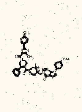 COc1ccc(-n2ccc3c(=O)n(CC4(O)CCN(C(=O)C5CCN(C(=O)c6sc(-c7ccc(C)nc7)nc6C)CC5c5ccccc5)CC4(F)F)cnc32)cc1